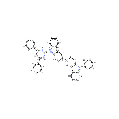 C1=CC2C(C=C1c1ccc3c(c1)c1ccccc1n3-c1nc(-c3ccccc3)cc(-c3ccccc3)n1)c1ccccc1N2c1ccccc1